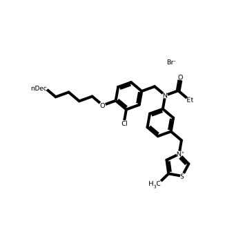 CCCCCCCCCCCCCCOc1ccc(CN(C(=O)CC)c2cccc(C[n+]3csc(C)c3)c2)cc1Cl.[Br-]